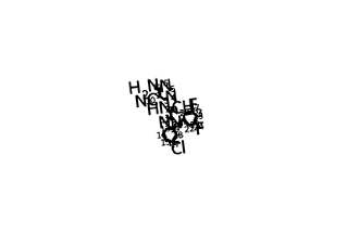 C[C@@H](Nc1ncnc(N)c1C#N)c1nc2ccc(Cl)cc2n1-c1cc(F)cc(F)c1